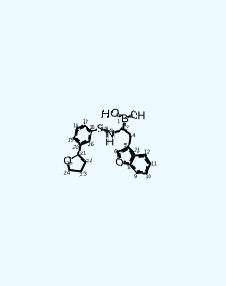 OB(O)C(Cc1coc2ccccc12)NSc1cccc(C2CCCO2)c1